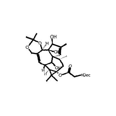 CCCCCCCCCCCC(=O)O[C@@]12C[C@@H](C)[C@]34C=C(C)[C@H](O)[C@@]3(O)[C@@H]3OC(C)(C)OCC3=C[C@H](C4O)[C@@H]1C2(C)C